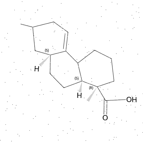 CC1CC=C2C3CCC[C@@](C)(C(=O)O)[C@H]3CC[C@H]2C1